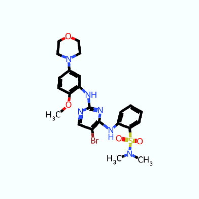 COc1ccc(N2CCOCC2)cc1Nc1ncc(Br)c(Nc2ccccc2S(=O)(=O)N(C)C)n1